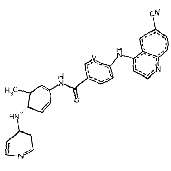 CC1C=C(NC(=O)c2ccc(Nc3ccnc4ccc(C#N)cc34)nc2)C=C[C@@H]1NC1C=CN=CC1